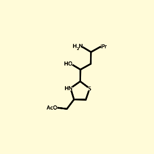 CC(=O)OCC1CSC(C(O)CC(N)C(C)C)N1